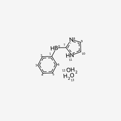 B(c1ccccc1)c1ncc[nH]1.O.O